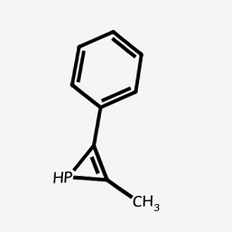 CC1=C(c2ccccc2)P1